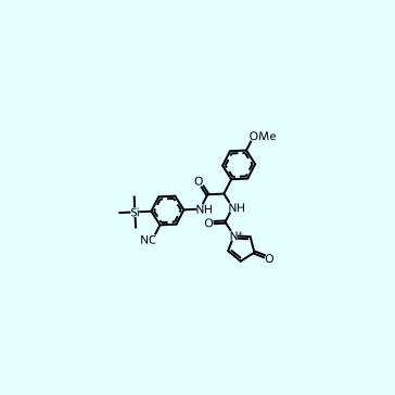 COc1ccc(C(NC(=O)[N+]2=CC(=O)C=C2)C(=O)Nc2ccc([Si](C)(C)C)c(C#N)c2)cc1